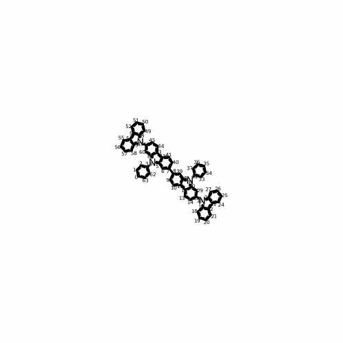 c1ccc(-n2c3cc(-c4ccc5c6ccc(-n7c8ccccc8c8ccccc87)cc6n(-c6ccccc6)c5c4)ccc3c3ccc(-n4c5ccccc5c5ccccc54)cc32)cc1